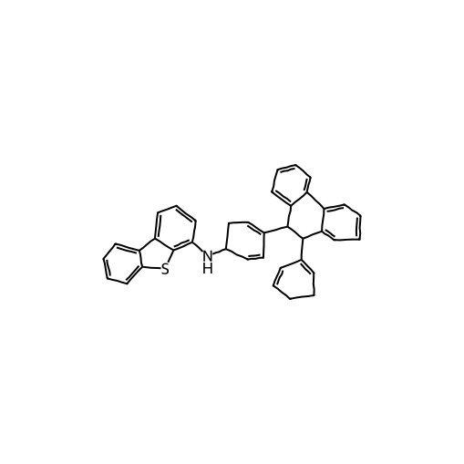 C1=CC(C2c3ccccc3-c3ccccc3C2C2=CCC(Nc3cccc4c3sc3ccccc34)C=C2)=CCC1